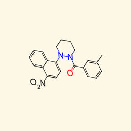 Cc1cccc(C(=O)N2CCCCN2c2ccc([N+](=O)[O-])c3ccccc23)c1